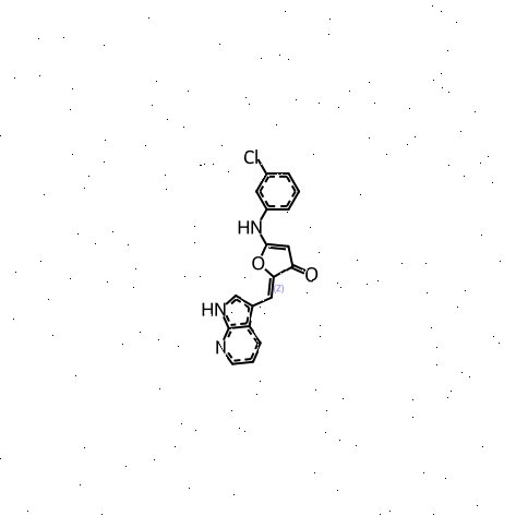 O=C1C=C(Nc2cccc(Cl)c2)O/C1=C\c1c[nH]c2ncccc12